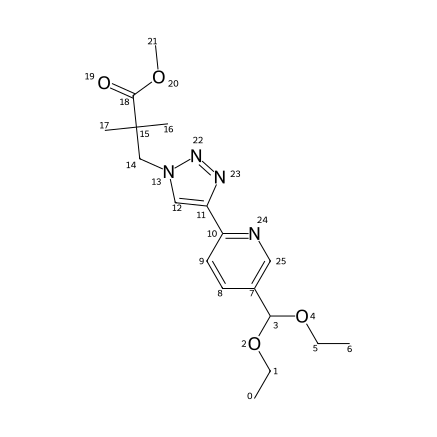 CCOC(OCC)c1ccc(-c2cn(CC(C)(C)C(=O)OC)nn2)nc1